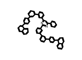 c1ccc(-c2cc(-c3cccc(-c4cccc(-c5ccc(-c6cccc7ccccc67)cc5)c4)c3)nc(-c3cccc(-c4cccc(-c5ccc(-c6cccc7ccccc67)cc5)c4)c3)n2)cc1